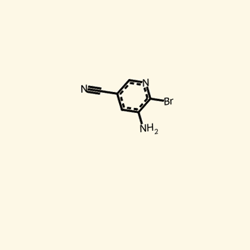 N#Cc1cnc(Br)c(N)c1